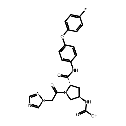 O=C(O)N[C@@H]1C[C@@H](C(=O)Nc2ccc(Oc3ccc(F)cc3)cc2)N(C(=O)Cn2cncn2)C1